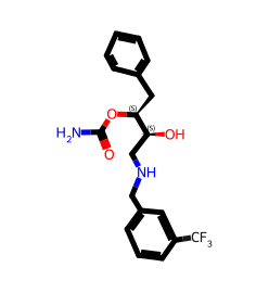 NC(=O)O[C@@H](Cc1ccccc1)[C@@H](O)CNCc1cccc(C(F)(F)F)c1